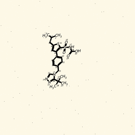 CC(C)Cc1cc(-c2ccc(Cn3cnnc3C(C)(C)C)cc2)c(S(=O)(=O)NC(=O)O)s1